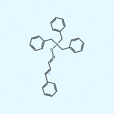 C(/C=C/c1ccccc1)=NO[Si](Cc1ccccc1)(Cc1ccccc1)Cc1ccccc1